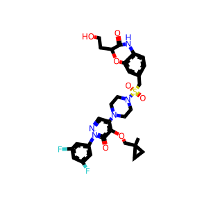 CC1(COc2c(N3CCN(S(=O)(=O)Cc4ccc5c(c4)OC(CCO)C(=O)N5)CC3)cnn(-c3cc(F)cc(F)c3)c2=O)CC1